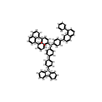 c1ccc(-c2cccc3ccc(-c4ccc(N(c5ccc(-c6ccc(-n7c8ccccc8c8ccccc87)cc6)cc5)c5ccc(-c6cccc7cccc(-c8ccccc8)c67)cc5)cc4)cc23)cc1